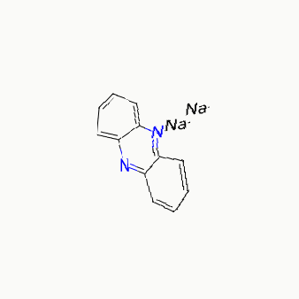 [Na].[Na].c1ccc2nc3ccccc3nc2c1